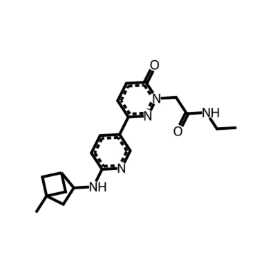 CCNC(=O)Cn1nc(-c2ccc(NC3CC4(C)CC3C4)nc2)ccc1=O